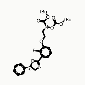 CC(C)(C)OC(=O)ON(CCOc1cccc(C2=NC[C@@H](c3ccccc3)O2)c1F)C(=O)OC(C)(C)C